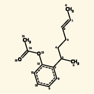 CC=CCCC(C)c1ccccc1OC(C)=O